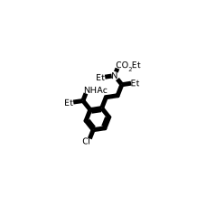 CCOC(=O)N(CC)C(CC)CCc1ccc(Cl)cc1C(CC)NC(C)=O